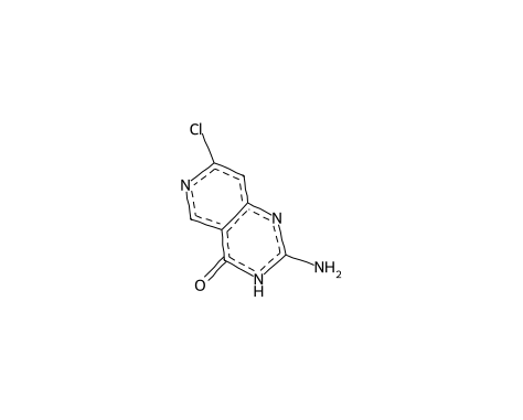 Nc1nc2cc(Cl)ncc2c(=O)[nH]1